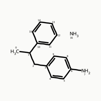 CC(Cc1ccc(N)cc1)c1ccccc1.N